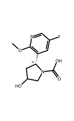 COc1ncc(F)cc1[C@H]1CC(O)CN1C(=O)O